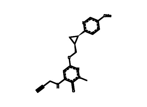 C#CCNc1cc(OC[C@H]2C[C@@H]2c2ccc(OC)cn2)nn(C)c1=O